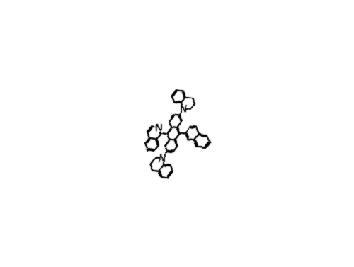 c1ccc2c(c1)CCCN2c1ccc2c(-c3nccc4ccccc34)c3cc(N4CCCc5ccccc54)ccc3c(-c3ccc4ccccc4c3)c2c1